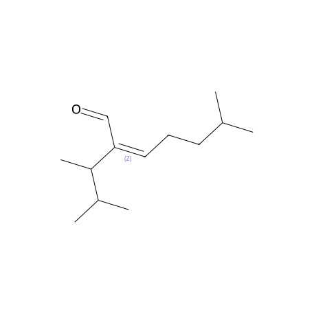 CC(C)CC/C=C(\C=O)C(C)C(C)C